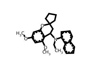 CCN(c1cccc2ccccc12)C1CC2(CCCC2)Oc2cc(OC)cc(OC)c21